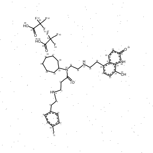 O=C(CCNCCc1ccc(F)cc1)N(CCNCCc1ccc(O)c2[nH]c(=O)ccc12)C1CCCCCC1.O=C(O)C(F)(F)F.O=C(O)C(F)(F)F